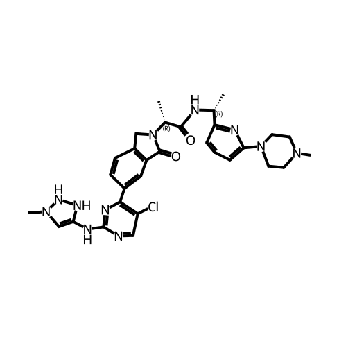 C[C@H](C(=O)N[C@H](C)c1cccc(N2CCN(C)CC2)n1)N1Cc2ccc(-c3nc(NC4=CN(C)NN4)ncc3Cl)cc2C1=O